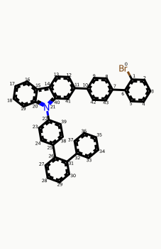 Brc1ccccc1-c1ccc(-c2ccc3c4ccccc4n(-c4ccc(-c5ccccc5-c5ccccc5)cc4)c3c2)cc1